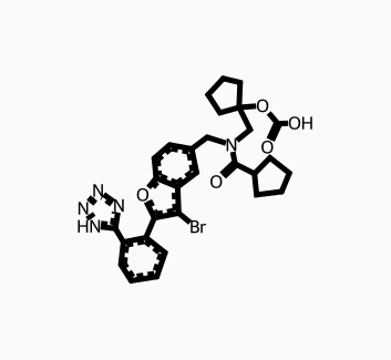 O=C(O)OC1(CN(Cc2ccc3oc(-c4ccccc4-c4nnn[nH]4)c(Br)c3c2)C(=O)C2CCCC2)CCCC1